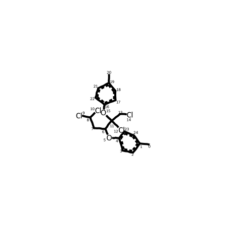 Cc1ccc(OC(CC(Cl)Cl)C(Cl)(CCl)Oc2ccc(C)cc2)cc1